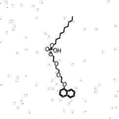 CCCCCCCCCCOP(=O)(O)OCCOCCOCCOc1cccc2ccccc12